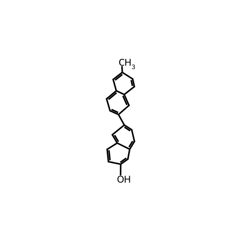 Cc1ccc2cc(-c3ccc4cc(O)ccc4c3)ccc2c1